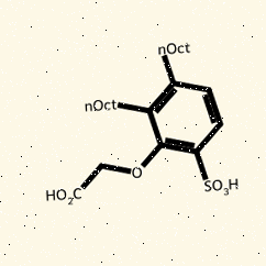 CCCCCCCCc1ccc(S(=O)(=O)O)c(OCC(=O)O)c1CCCCCCCC